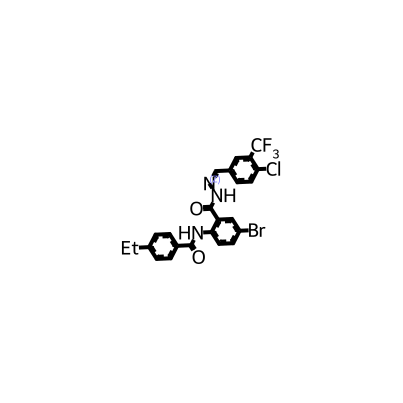 CCc1ccc(C(=O)Nc2ccc(Br)cc2C(=O)N/N=C\c2ccc(Cl)c(C(F)(F)F)c2)cc1